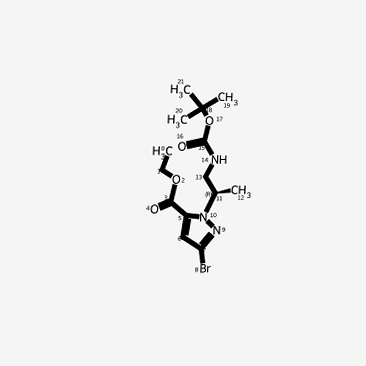 CCOC(=O)c1cc(Br)nn1[C@H](C)CNC(=O)OC(C)(C)C